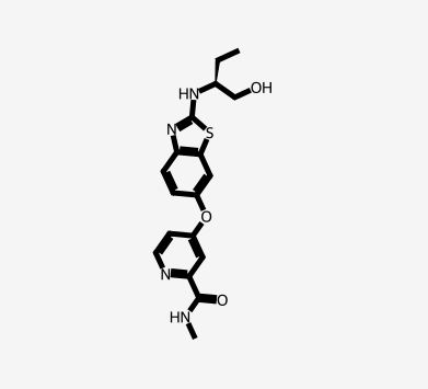 CC[C@@H](CO)Nc1nc2ccc(Oc3ccnc(C(=O)NC)c3)cc2s1